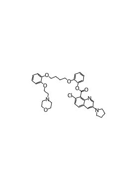 O=C(Oc1ccccc1OCCCCOc1ccccc1OCCN1CCOCC1)c1c(Cl)ccc2cc(N3CCCC3)cnc12